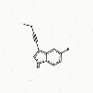 CCC#Cc1c[nH]c2ccc(F)cc12